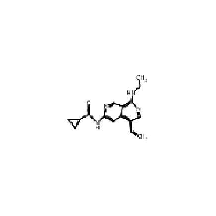 C=Cc1cnc(NCC)c2cnc(NC(=O)C3CC3)cc12